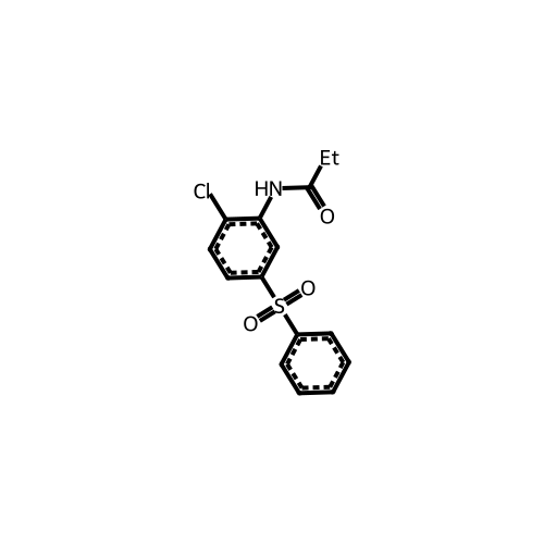 CCC(=O)Nc1cc(S(=O)(=O)c2ccccc2)ccc1Cl